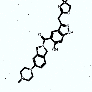 CN1CCN(c2ccc3c(c2)CN(C(=O)c2cc4c(CC5=NC(C)(C)CO5)n[nH]c4cc2O)C3)CC1